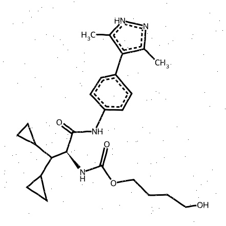 Cc1n[nH]c(C)c1-c1ccc(NC(=O)[C@@H](NC(=O)OCCCCO)C(C2CC2)C2CC2)cc1